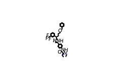 C/C=N\C(=C/C)C(=O)Nc1ccc(-c2cnc(C(CCCOCc3ccccc3)c3cccc(C(F)(F)F)c3)[nH]2)cc1